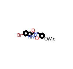 COc1ccc(CN2C(=O)NC3(Cc4ccc(Br)cc4C3)C2=O)cc1